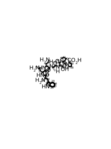 C[C@H](NC(=O)[C@H](CCN)NC(=O)[C@H](CCN)NC(=O)[C@@H](N)Cc1c[nH]c2ccccc12)C(=O)N[C@@H](CO)C(=O)N1CCC[C@@H]1C(=O)N1CCC[C@H]1C(=O)O